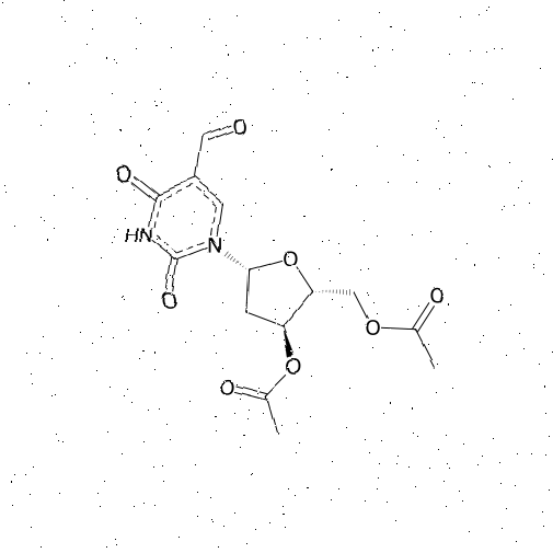 CC(=O)OC[C@H]1O[C@@H](n2cc(C=O)c(=O)[nH]c2=O)C[C@@H]1OC(C)=O